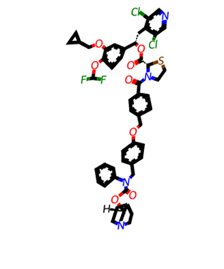 O=C(O[C@@H](Cc1c(Cl)cncc1Cl)c1ccc(OC(F)F)c(OCC2CC2)c1)[C@@H]1SCCN1C(=O)c1ccc(COc2ccc(CN(C(=O)O[C@H]3CN4CCC3CC4)c3ccccc3)cc2)cc1